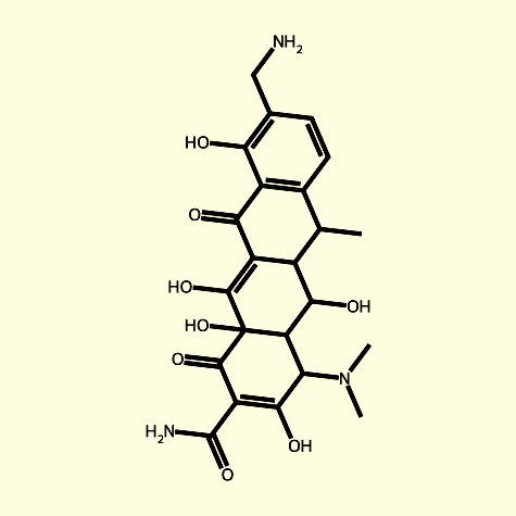 CC1c2ccc(CN)c(O)c2C(=O)C2=C(O)C3(O)C(=O)C(C(N)=O)=C(O)C(N(C)C)C3C(O)C21